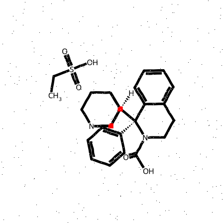 CCS(=O)(=O)O.O=C(O)N1CCc2ccccc2[C@]1(c1ccccc1)[C@H]1CN2CCC1CC2